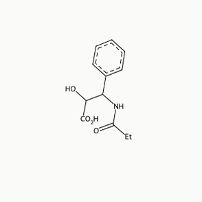 CCC(=O)NC(c1ccccc1)C(O)C(=O)O